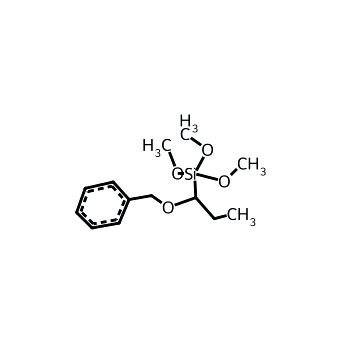 CCC(OCc1ccccc1)[Si](OC)(OC)OC